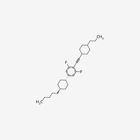 CCCCC[C@H]1CC[C@H](c2cc(F)c(C#CC3CCC(CCC)CC3)c(F)c2)CC1